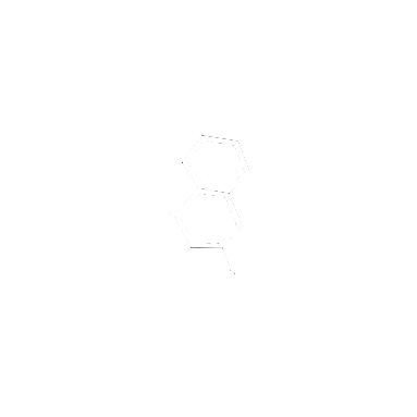 O=[N+]([O-])c1cc2ccccc2nc1F